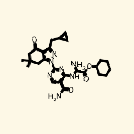 CC1(C)CC(=O)c2c(CC3CC3)nn(-c3ncc(C(N)=O)c(NC(N)C(=O)OC4CCCCC4)n3)c2C1